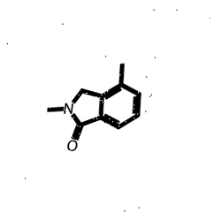 Cc1cccc2c1CN(C)C2=O